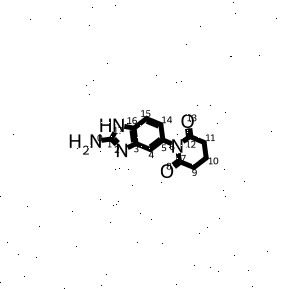 Nc1nc2cc(N3C(=O)CCCC3=O)ccc2[nH]1